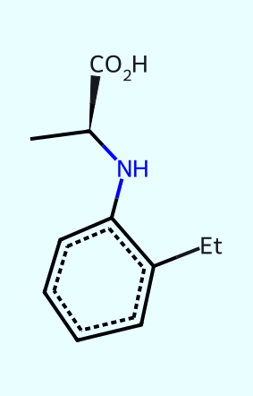 CCc1ccccc1N[C@@H](C)C(=O)O